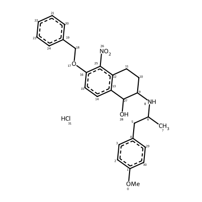 COc1ccc(CC(C)NC2CCc3c(ccc(OCc4ccccc4)c3[N+](=O)[O-])C2O)cc1.Cl